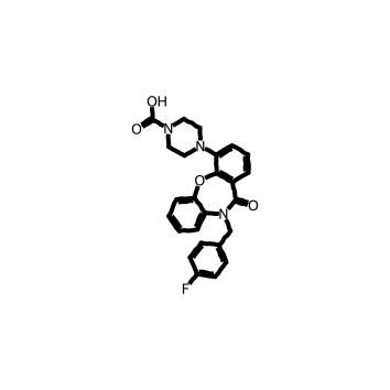 O=C(O)N1CCN(c2cccc3c2Oc2ccccc2N(Cc2ccc(F)cc2)C3=O)CC1